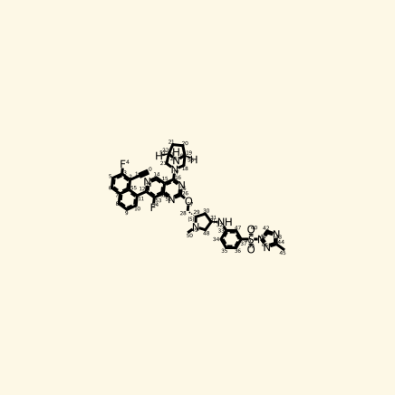 C#Cc1c(F)ccc2cccc(-c3ncc4c(N5C[C@H]6CC[C@@H](C5)N6)nc(OC[C@@H]5C[C@@H](Nc6cccc(S(=O)(=O)n7cnc(C)n7)c6)CN5C)nc4c3F)c12